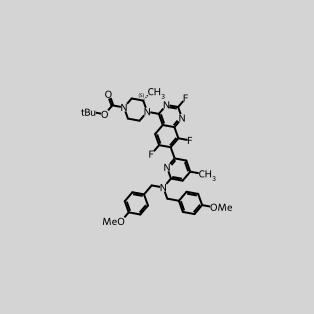 COc1ccc(CN(Cc2ccc(OC)cc2)c2cc(C)cc(-c3c(F)cc4c(N5CCN(C(=O)OC(C)(C)C)C[C@@H]5C)nc(F)nc4c3F)n2)cc1